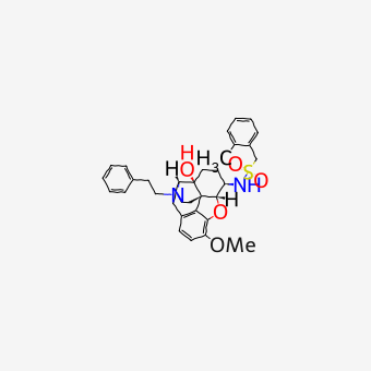 COc1ccc2c3c1O[C@H]1[C@H](NS(=O)(=O)Cc4ccccc4C)CC[C@@]4(O)[C@@H](C2)N(CCc2ccccc2)CC[C@]314